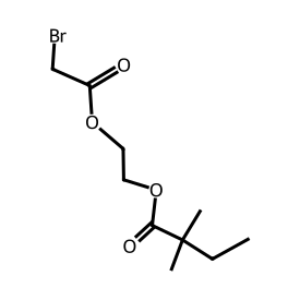 CCC(C)(C)C(=O)OCCOC(=O)CBr